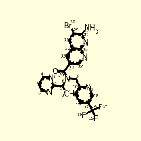 CC(c1ncccn1)N(Cc1ccc(C(F)(F)F)cn1)C(=O)c1cnc2nc(N)c(Br)cc2c1